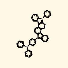 c1ccc(N(c2ccccc2)c2ccc(-n3c4ccccc4c4c5ccc6c(c5ccc43)c3ccccc3n6-c3ccccc3)cc2)cc1